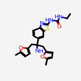 CCNC(=O)Nc1nc2ccc(C(N)(Cc3ccc(C)o3)Cc3ccc(C)o3)cc2s1